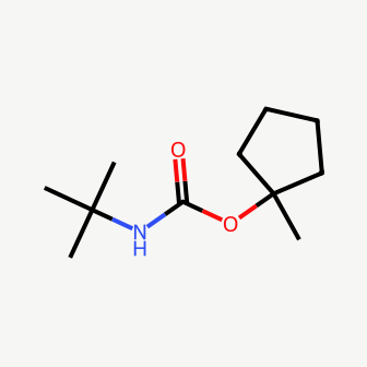 CC(C)(C)NC(=O)OC1(C)CCCC1